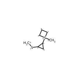 CSC1CC1S1(C)CCC1